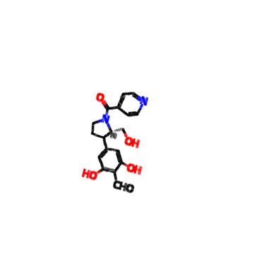 O=Cc1c(O)cc(C2CCN(C(=O)c3ccncc3)[C@@H]2CO)cc1O